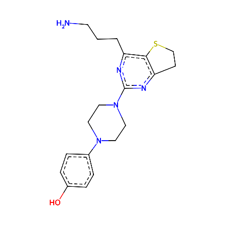 NCCCc1nc(N2CCN(c3ccc(O)cc3)CC2)nc2c1SCC2